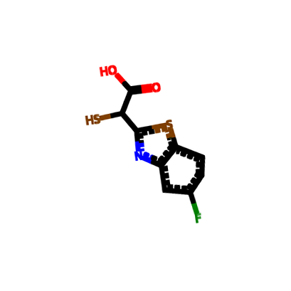 O=C(O)C(S)c1nc2cc(F)ccc2s1